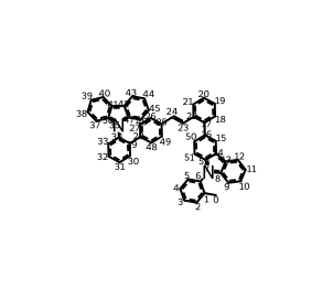 Cc1ccccc1-n1c2ccccc2c2cc(-c3ccccc3/C=C/c3ccc(-c4ccccc4-n4c5ccccc5c5ccccc54)cc3)ccc21